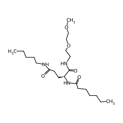 CCCCCCC(=O)N[C@@H](CCC(=O)NCCCCC)C(=O)NCCOCCOC